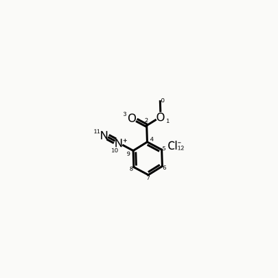 COC(=O)c1ccccc1[N+]#N.[Cl-]